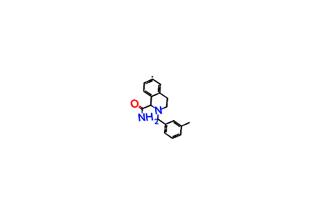 Cc1cccc(CN2CCc3c[c]ccc3C2C(N)=O)c1